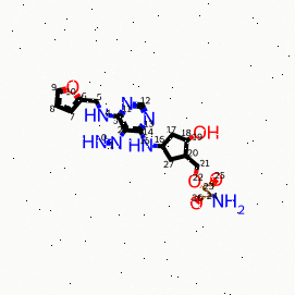 N=Nc1c(NCc2ccco2)ncnc1NC1CC(O)C(COS(N)(=O)=O)C1